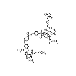 CCCCCNc1nc(N)nc2ccn(Cc3ccc(CN4CCN(C(=O)OCc5ccc(NC(=O)C(CCCNC(N)=O)NC(=O)C(NC(=O)CCOCCN6C(=O)C=CC6=O)C(C)C)cc5)CC4)cc3OC)c12